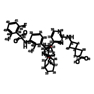 O=S1(=O)CC2(CC(Nc3nccc(-c4sc(N5C6CCC5CN(C5CC5)C6)nc4-c4cccc(NS(=O)(=O)c5c(F)cccc5F)c4F)n3)C2)C1